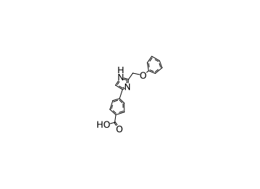 O=C(O)c1ccc(-c2c[nH]c(COc3ccccc3)n2)cc1